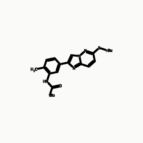 CCCCSc1ccc2nc(-c3ccc(C)c(NC(=O)C(C)(C)C)c3)cn2n1